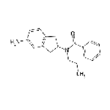 CCCN(C(=O)c1ccccc1)C1Cc2ccc(N)cc2C1